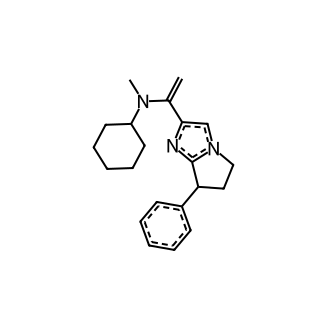 C=C(c1cn2c(n1)C(c1ccccc1)CC2)N(C)C1CCCCC1